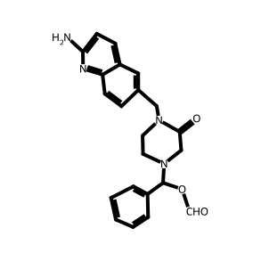 Nc1ccc2cc(CN3CCN(C(OC=O)c4ccccc4)CC3=O)ccc2n1